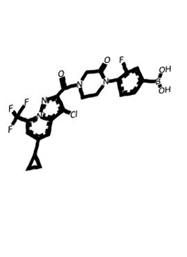 O=C(c1nn2c(C(F)(F)F)cc(C3CC3)cc2c1Cl)N1CCN(c2ccc(B(O)O)cc2F)C(=O)C1